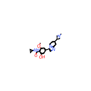 COc1cc(-c2cnc3cc(C4CN(C)C4)ccn23)cc(O)c1C(=O)NC1CC1